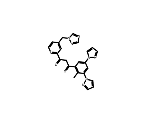 Cc1c(C(=O)CC(=O)c2cc(Cn3cncn3)ccn2)cc(-n2cccn2)cc1-n1cccn1